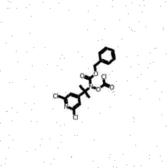 CC(C)(c1cc(Cl)nc(Cl)c1)N(OC(=O)Cl)C(=O)OCc1ccccc1